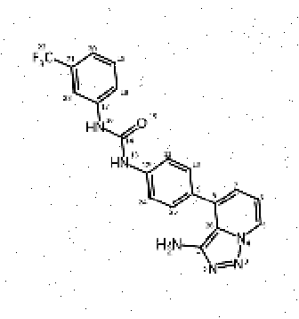 Nc1nnn2cccc(-c3ccc(NC(=O)Nc4cccc(C(F)(F)F)c4)cc3)c12